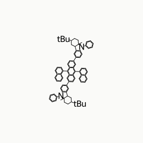 CC(C)(C)C1CCC2(C)C(C1)c1cc(-c3ccc4c(-c5cccc6ccccc56)c5cc(-c6ccc7c(c6)C6CC(C(C)(C)C)CCC6(C)N7c6ccccc6)ccc5c(-c5cccc6ccccc56)c4c3)ccc1N2c1ccccc1